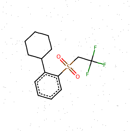 O=S(=O)(CC(F)(F)F)c1ccccc1C1CCCCC1